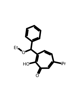 CCOC(c1ccccc1)c1ccc(C(C)C)cc(=O)c1O